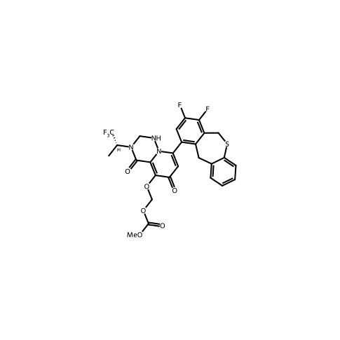 COC(=O)OCOc1c2n(c(-c3cc(F)c(F)c4c3Cc3ccccc3SC4)cc1=O)NCN([C@H](C)C(F)(F)F)C2=O